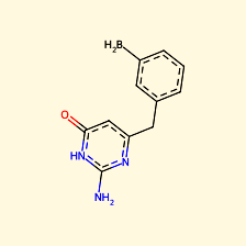 Bc1cccc(Cc2cc(=O)[nH]c(N)n2)c1